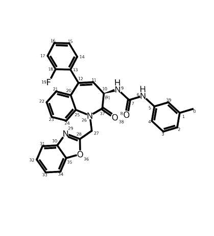 Cc1cccc(NC(=O)N[C@@H]2C=C(c3ccccc3F)c3ccccc3N(Cc3nc4ccccc4o3)C2=O)c1